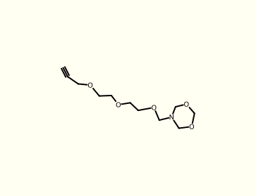 C#CCOCCOCCOCN1COCOC1